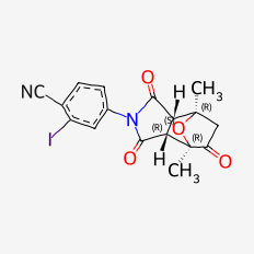 C[C@]12CC(=O)[C@](C)(O1)[C@@H]1C(=O)N(c3ccc(C#N)c(I)c3)C(=O)[C@@H]12